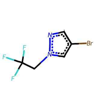 FC(F)(F)Cn1cc(Br)[c]n1